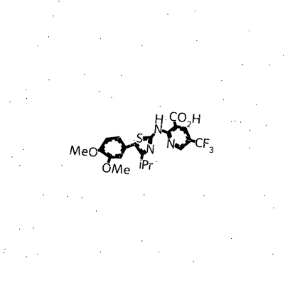 COc1ccc(-c2sc(Nc3ncc(C(F)(F)F)cc3C(=O)O)nc2C(C)C)cc1OC